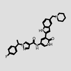 CC(c1ccc(F)cc1)n1cc(C(=O)Nc2c[nH]c(=O)c(-c3cc4cc(CN5CCCCC5)ccc4[nH]3)c2)cn1